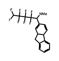 CNC(C1=CC2Cc3ccccc3C2C=C1)C(F)(F)C(F)(F)C(F)(F)C(F)F